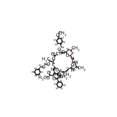 C=C1C[C@@H]2C[C@@H]3CC(=C)C[C@H](/C=C/C(C)(C)[C@]4(OC)O[C@@H](C/C(=C\C(=O)OC)[C@@H]4OC(=O)c4ccccc4)C[C@H]([C@@H](C)OCOCc4ccccc4)OC(=O)C[C@H](OCc4ccc(OC)cc4)C[C@H](C1)O2)O3